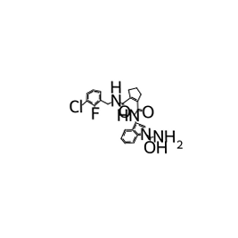 NC(O)n1cc(NC(=O)C2=C(C(=O)NCc3cccc(Cl)c3F)CCC2)c2ccccc21